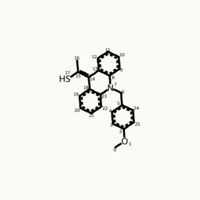 COc1ccc(CN2c3ccccc3C(=C(C)S)c3ccccc32)cc1